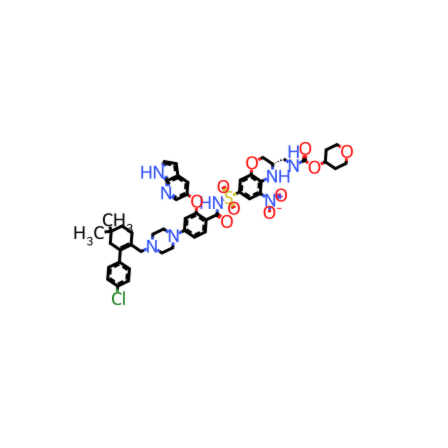 CC1(C)CCC(CN2CCN(c3ccc(C(=O)NS(=O)(=O)c4cc5c(c([N+](=O)[O-])c4)N[C@@H](CNC(=O)OC4CCOCC4)CO5)c(Oc4cnc5[nH]ccc5c4)c3)CC2)=C(c2ccc(Cl)cc2)C1